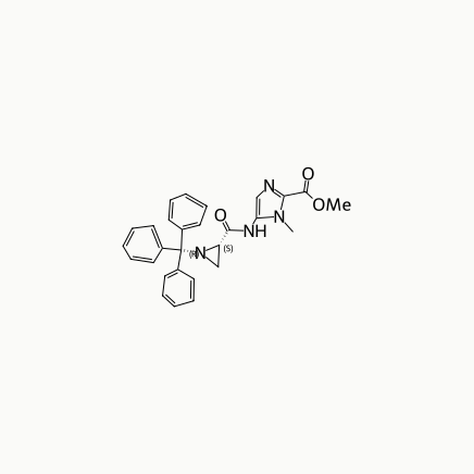 COC(=O)c1ncc(NC(=O)[C@@H]2C[N@]2C(c2ccccc2)(c2ccccc2)c2ccccc2)n1C